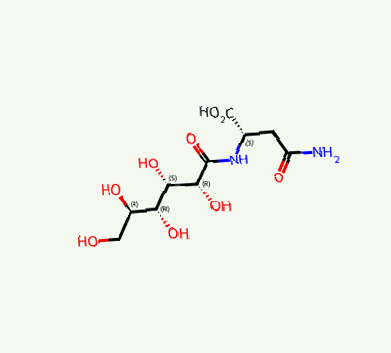 NC(=O)C[C@H](NC(=O)[C@H](O)[C@@H](O)[C@H](O)[C@H](O)CO)C(=O)O